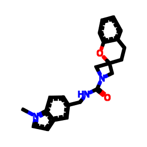 Cn1ccc2cc(CNC(=O)N3CC4(CCc5ccccc5O4)C3)ccc21